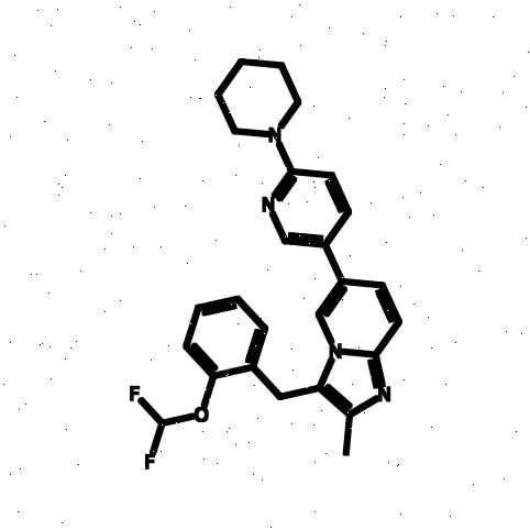 Cc1nc2ccc(-c3ccc(N4CCCCC4)nc3)cn2c1Cc1ccccc1OC(F)F